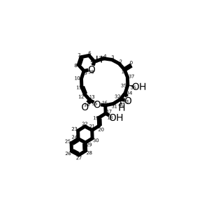 C=C1CCC[C@@H]2CC=CC(C/C=C\C(=O)OC(C(O)/C=C/C3CCc4ccccc4C3)C[C@@H]3OC3[C@@H](O)C1)O2